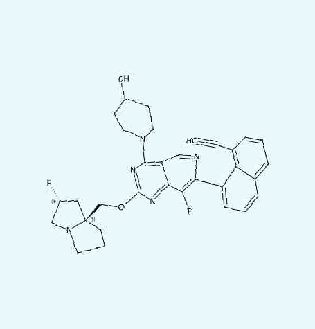 C#Cc1cccc2cccc(-c3ncc4c(N5CCC(O)CC5)nc(OC[C@@]56CCCN5C[C@H](F)C6)nc4c3F)c12